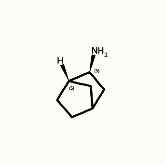 N[C@H]1CC2CC[C@H]1C2